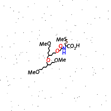 COCCCCC(CCCOC)COCC(CCCCOC)CCCOCC(=O)NC(CSSC)C(=O)O